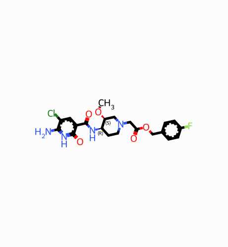 CO[C@H]1CN(CC(=O)OCc2ccc(F)cc2)CC[C@H]1NC(=O)c1cc(Cl)c(N)[nH]c1=O